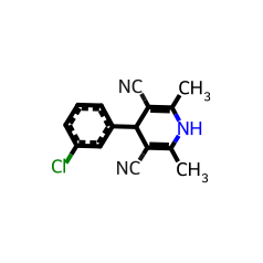 CC1=C(C#N)C(c2cccc(Cl)c2)C(C#N)=C(C)N1